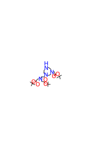 CC(C)(C)OC(=O)CN1CCNCCN(CCN(CC(=O)OC(C)(C)C)CC(=O)OC(C)(C)C)CC1